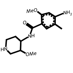 COc1cc(N)c(C)cc1C(=O)NC1CCNCC1OC